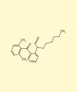 CCCCCCC(P=O)c1ccccc1C(=O)c1c(C)cccc1C